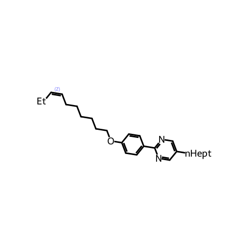 CC/C=C\CCCCCCOc1ccc(-c2ncc(CCCCCCC)cn2)cc1